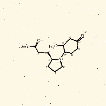 COC(=O)CC[C@@H]1CCCN1C1CCC(=O)CC1C